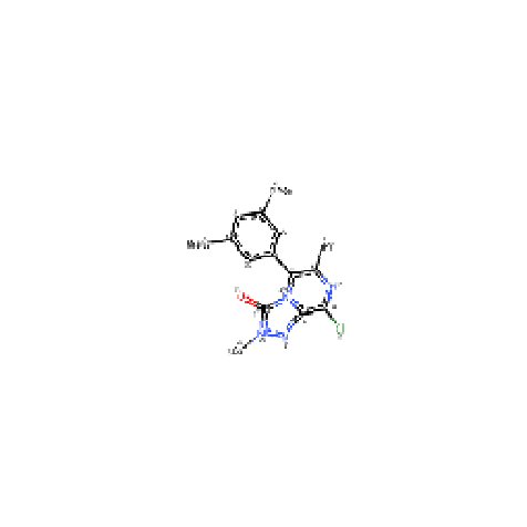 COc1cc(OC)cc(-c2c(C(C)C)nc(Cl)c3nn(C(C)(C)C)c(=O)n23)c1